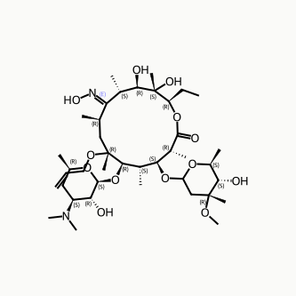 C=CCO[C@]1(C)C[C@@H](C)/C(=N\O)[C@H](C)[C@@H](O)[C@](C)(O)[C@@H](CC)OC(=O)[C@H](C)[C@@H](OC2C[C@@](C)(OC)[C@@H](O)[C@H](C)O2)[C@H](C)[C@H]1O[C@@H]1O[C@H](C)C[C@H](N(C)C)[C@H]1O